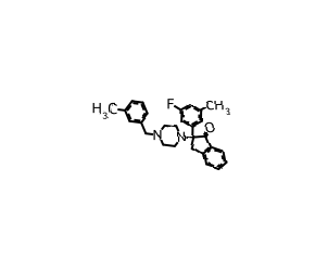 Cc1cccc(CN2CCN(C3(c4cc(C)cc(F)c4)Cc4ccccc4C3=O)CC2)c1